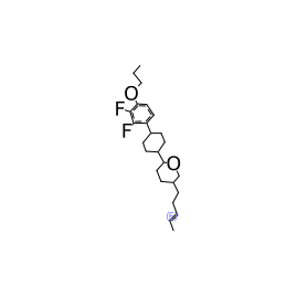 C/C=C/CCC1CCC(C2CCC(c3ccc(OCCC)c(F)c3F)CC2)OC1